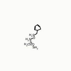 C[SiH](O[SiH3])[SiH2]O[SiH2]CC1C=CC=CC1